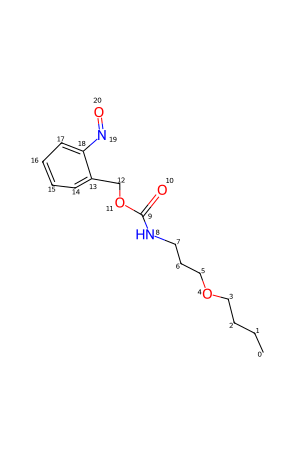 CCCCOCCCNC(=O)OCc1ccccc1N=O